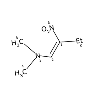 CCC(=CN(C)C)[N+](=O)[O-]